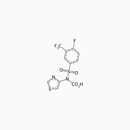 O=C(O)N(c1cscn1)S(=O)(=O)c1ccc(F)c(C(F)(F)F)c1